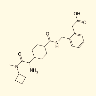 CN(C(=O)[C@@H](N)C1CCC(C(=O)NCc2ccccc2CC(=O)O)CC1)C1CCC1